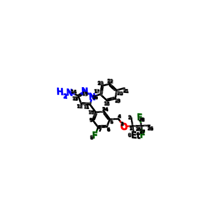 CCC(C)(OCc1cc(F)cc(-c2cc(N)nn2-c2ccc(C)cc2)c1)C(C)(F)F